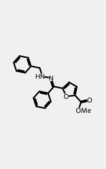 COC(=O)c1ccc(C(=NNCc2ccccc2)c2ccccc2)o1